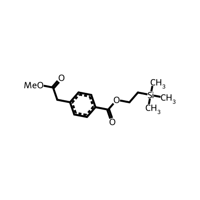 COC(=O)Cc1ccc(C(=O)OCC[Si](C)(C)C)cc1